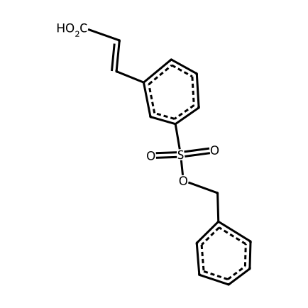 O=C(O)/C=C/c1cccc(S(=O)(=O)OCc2ccccc2)c1